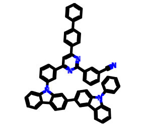 N#Cc1cccc(-c2nc(-c3ccc(-c4ccccc4)cc3)cc(-c3cccc(-n4c5ccccc5c5ccc(-c6ccc7c(c6)c6ccccc6n7-c6ccccc6)cc54)c3)n2)c1